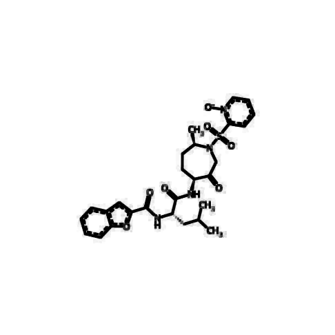 CC(C)C[C@H](NC(=O)c1cc2ccccc2o1)C(=O)N[C@H]1CC[C@@H](C)N(S(=O)(=O)c2cccc[n+]2[O-])CC1=O